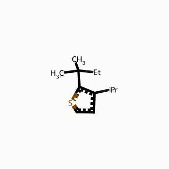 CCC(C)(C)c1sccc1C(C)C